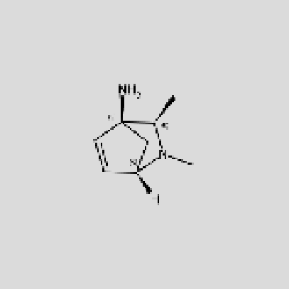 C[C@H]1N(C)[C@@H]2C=C[C@@]1(N)C2